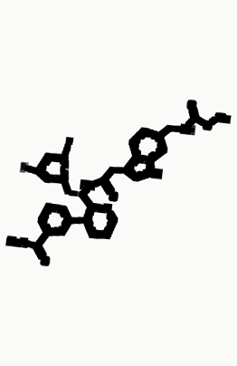 CNC(=O)c1cccc(-c2cccnc2[C@H](Cc2cc(F)cc(F)c2)NC(=O)Cc2c[nH]c3cc(CNC(=O)OC(C)(C)C)ccc23)c1